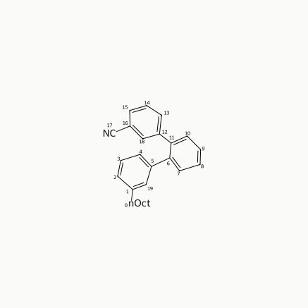 CCCCCCCCc1cccc(-c2ccccc2-c2cccc(C#N)c2)c1